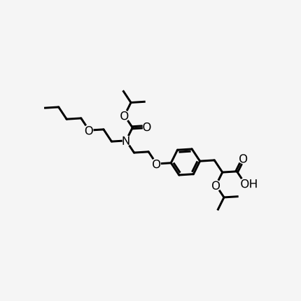 CCCCOCCN(CCOc1ccc(CC(OC(C)C)C(=O)O)cc1)C(=O)OC(C)C